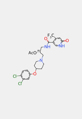 CC(=O)O[C@H](CNC(=O)c1c[nH]c(=O)cc1C(F)(F)F)CN1CCC(Oc2ccc(Cl)c(Cl)c2)CC1